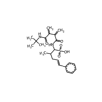 C=C(C(=C)C(=O)NC(C)(C)C)C(=O)NC(C(C)CC=Cc1ccccc1)S(=O)(=O)O